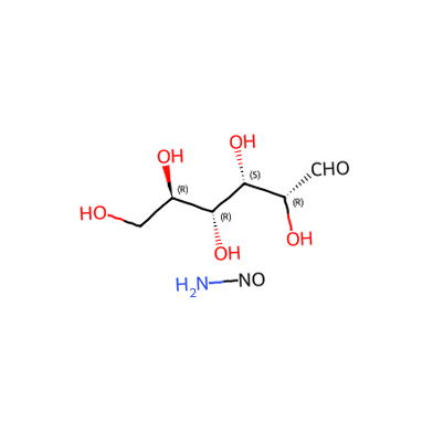 NN=O.O=C[C@H](O)[C@@H](O)[C@H](O)[C@H](O)CO